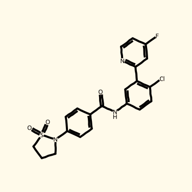 O=C(Nc1ccc(Cl)c(-c2cc(F)ccn2)c1)c1ccc(N2CCCS2(=O)=O)cc1